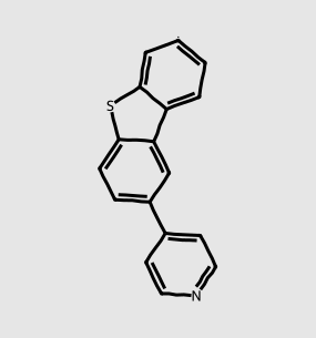 [c]1ccc2c(c1)sc1ccc(-c3ccncc3)cc12